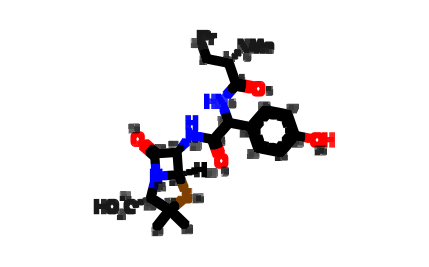 CN[C@@H](CC(C)C)C(=O)NC(C(=O)N[C@@H]1C(=O)N2[C@@H]1SC(C)(C)[C@@H]2C(=O)O)c1ccc(O)cc1